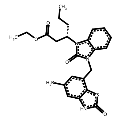 Bc1cc(Cn2c(=O)n([C@@H](CCC)CC(=O)OCC)c3ccccc32)c2sc(=O)[nH]c2c1